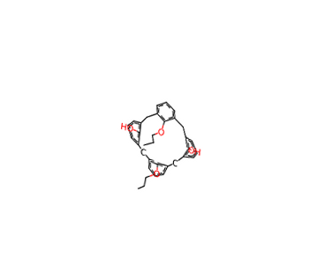 CCCOc1c2cccc1Cc1cccc(c1O)Cc1cccc(c1OCCC)Cc1cccc(c1O)C2